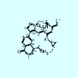 C#CC(=C\F)/C=C(O[C@H]1C[C@@H]1F)\C(C#N)=C\c1c(-c2ccc3c(=O)[nH]nc(CN)c3c2)cnn1C